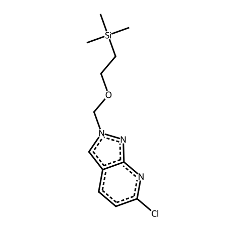 C[Si](C)(C)CCOCn1cc2ccc(Cl)nc2n1